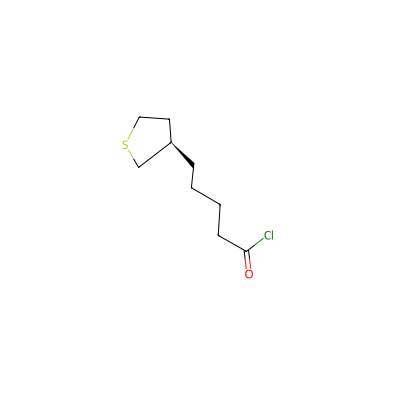 O=C(Cl)CCCC[C@@H]1CCSC1